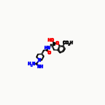 N=C(N)N1CCC(CC(=O)N[C@H]2Cc3cccc(C(=O)O)c3OB2O)CC1